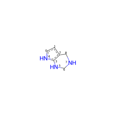 c1cc2c([nH]1)NCNC2